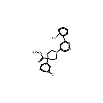 COC(=O)C1(c2cccc(Cl)c2)CCN(c2cnnc(-c3ccccc3O)c2)CC1